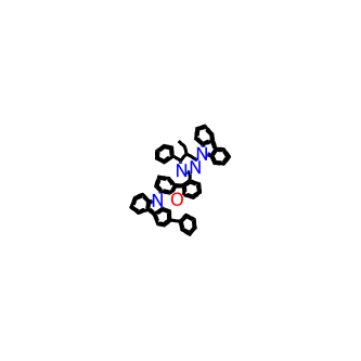 CCC1C(n2c3ccccc3c3ccccc32)=NC(c2cccc3oc4c(-n5c6ccccc6c6ccc(-c7ccccc7)cc65)cccc4c23)=NC1c1ccccc1